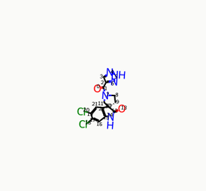 O=C(c1cn[nH]n1)N1CC[C@]2(C1)C(=O)Nc1cc(Cl)c(Cl)cc12